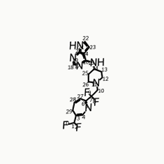 FC(F)C1=CN=C(C(F)(F)CN2CCC(Nc3ncnc4[nH]ccc34)CC2)C=CC1